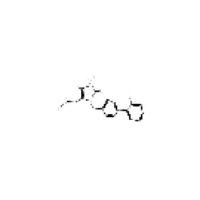 CCn1c(F)c(CCC(C)C)n(Cc2ccc(-c3ccccc3C(=O)O)cc2)c1=O